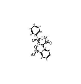 O=[N+]([O-])c1ccccc1C(OS(=O)(=O)c1ccccc1)[N+](=O)[O-]